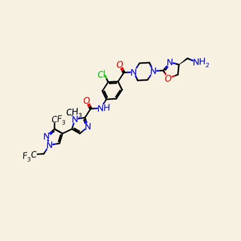 Cn1c(-c2cn(CC(F)(F)F)nc2C(F)(F)F)cnc1C(=O)Nc1ccc(C(=O)N2CCN(C3=N[C@@H](CN)CO3)CC2)c(Cl)c1